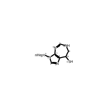 CCCCCCCn1cnc2c1N=CNCC2S